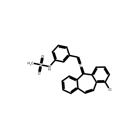 CS(=O)(=O)Nc1cccc(C=C=C2c3ccccc3C=Cc3c(Cl)cccc32)c1